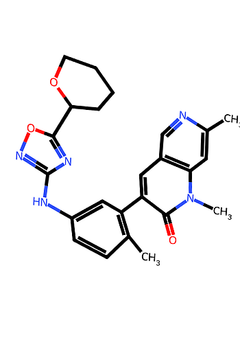 Cc1cc2c(cn1)cc(-c1cc(Nc3noc(C4CCCCO4)n3)ccc1C)c(=O)n2C